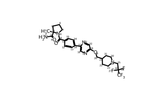 C[C@@]1(C(N)=O)CCCN1C(=O)c1ccc(-c2cnc(OCC3CCN(CC(F)(F)C(F)(F)F)CC3)cn2)cc1